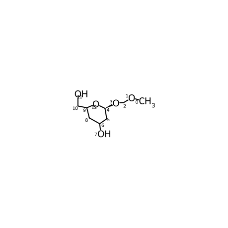 COCO[C@H]1CC(O)CC(CO)O1